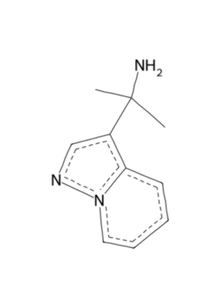 CC(C)(N)c1cnn2ccccc12